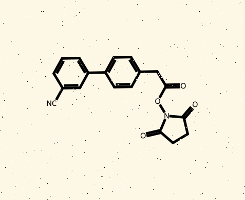 N#Cc1cccc(-c2ccc(CC(=O)ON3C(=O)CCC3=O)cc2)c1